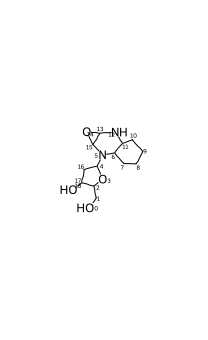 OCC1OC(N2C3CCCCC3NC3OC32)CC1O